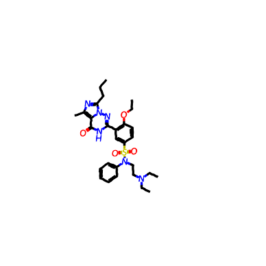 CCCc1nc(C)c2c(=O)[nH]c(-c3cc(S(=O)(=O)N(CCN(CC)CC)c4ccccc4)ccc3OCC)nn12